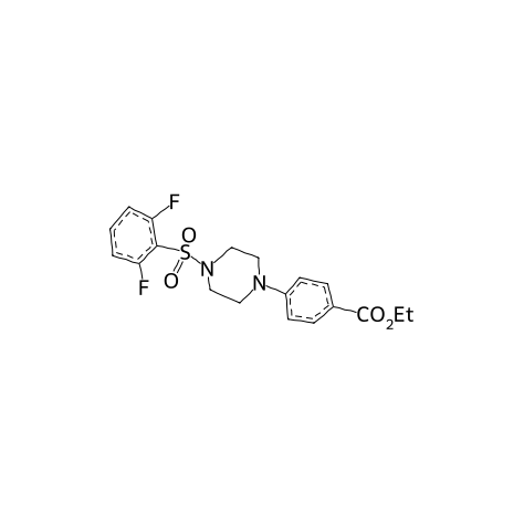 CCOC(=O)c1ccc(N2CCN(S(=O)(=O)c3c(F)cccc3F)CC2)cc1